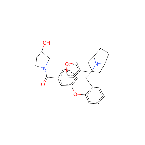 O=C(c1ccc2c(c1)Oc1ccccc1C2C1CC2CCC(C1)N2Cc1ccoc1)N1CCC(O)C1